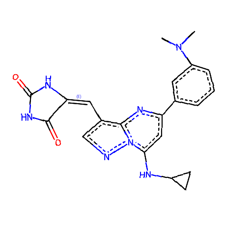 CN(C)c1cccc(-c2cc(NC3CC3)n3ncc(/C=C4/NC(=O)NC4=O)c3n2)c1